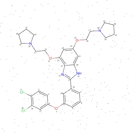 Clc1ccc(Oc2cccc(-c3nc4c(OCCN5CCCC5)cc(OCCN5CCCC5)cc4[nH]3)c2)cc1Cl